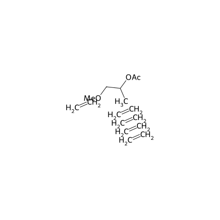 C=C.C=C.C=C.C=C.C=C.COCC(C)OC(C)=O